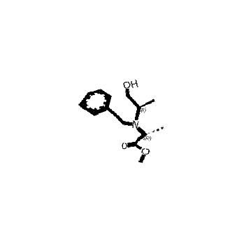 COC(=O)[C@@H](C)N(Cc1ccccc1)[C@H](C)CO